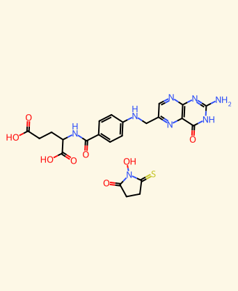 Nc1nc2ncc(CNc3ccc(C(=O)NC(CCC(=O)O)C(=O)O)cc3)nc2c(=O)[nH]1.O=C1CCC(=S)N1O